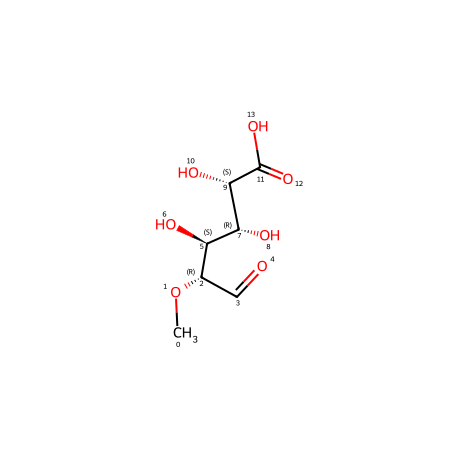 CO[C@@H](C=O)[C@@H](O)[C@@H](O)[C@H](O)C(=O)O